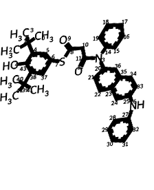 CC(C)(C)c1cc(SC(=O)CC(=O)N(c2ccccc2)c2ccc3cc(Nc4ccccc4)ccc3c2)cc(C(C)(C)C)c1O